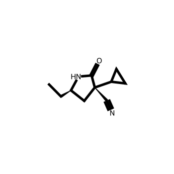 CC[C@@H]1C[C@@](C#N)(C2CC2)C(=O)N1